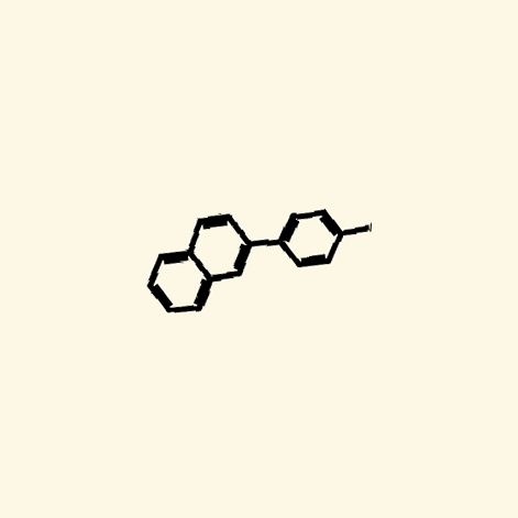 Ic1ccc(-c2ccc3ccccc3c2)cc1